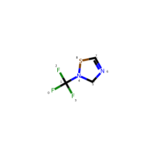 FC(F)(F)N1[CH]N=[C]S1